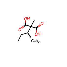 CCC(C)C(C)(C(=O)O)C(=O)O.[CaH2]